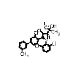 Cc1cccc(-c2ccc(-c3c(Cl)c(C(C)(C)O)nn3-c3c(Cl)cccc3Cl)c(Cl)c2)c1